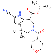 CC(C)OC(=O)C1CN(C(=O)C2CCOCC2)CC(C)(C)c2cc(C#N)[nH]c21